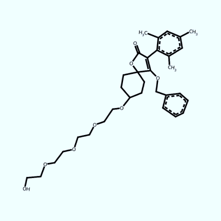 Cc1cc(C)c(C2=C(OCc3ccccc3)C3(CCC(OCCOCCOCCOCCO)CC3)OC2=O)c(C)c1